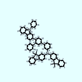 CC1(C)c2ccccc2-c2ccc(N(c3cccc(-c4ccc(-c5ccc6c7ccccc7n(-c7ccccc7)c6c5)c(-c5ccccc5)c4)c3)c3ccc4c(c3)C(C)(C)c3ccccc3-4)cc21